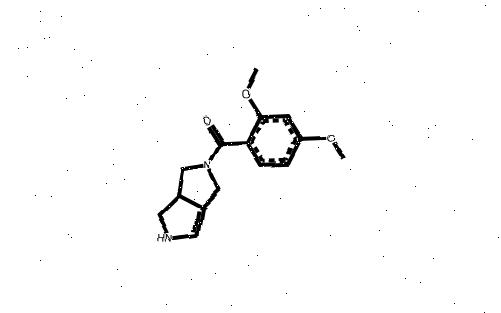 COc1ccc(C(=O)N2CC3=CNCC3C2)c(OC)c1